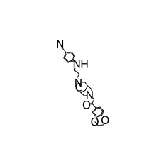 N#Cc1ccc(NCCCN2CC3CC(C2)CN(CC(=O)c2ccc4c(c2)OCCO4)C3)cc1